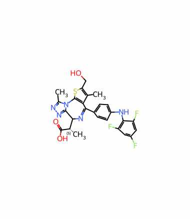 Cc1c(CO)sc2c1C(c1ccc(Nc3c(F)cc(F)cc3F)cc1)=NC([C@H](C)C(=O)O)c1nnc(C)n1-2